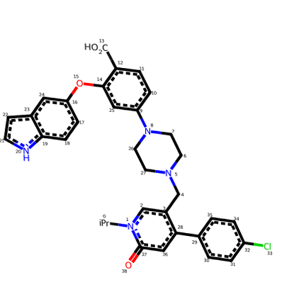 CC(C)n1cc(CN2CCN(c3ccc(C(=O)O)c(Oc4ccc5[nH]ccc5c4)c3)CC2)c(-c2ccc(Cl)cc2)cc1=O